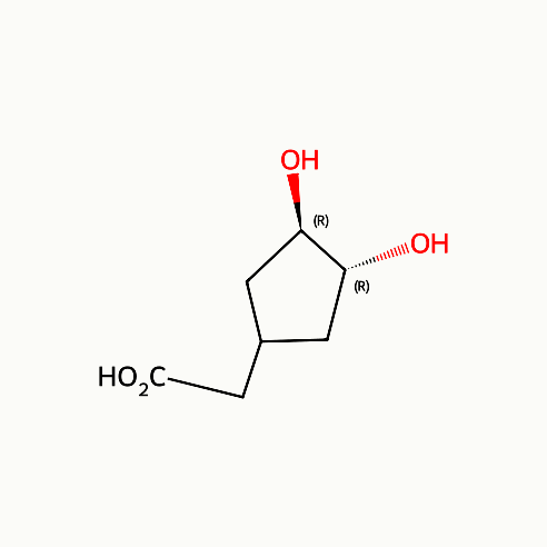 O=C(O)CC1C[C@@H](O)[C@H](O)C1